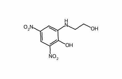 O=[N+]([O-])c1cc(NCCO)c(O)c([N+](=O)[O-])c1